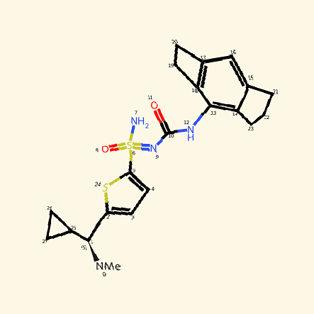 CN[C@H](c1ccc(S(N)(=O)=NC(=O)Nc2c3c(cc4c2CC4)CCC3)s1)C1CC1